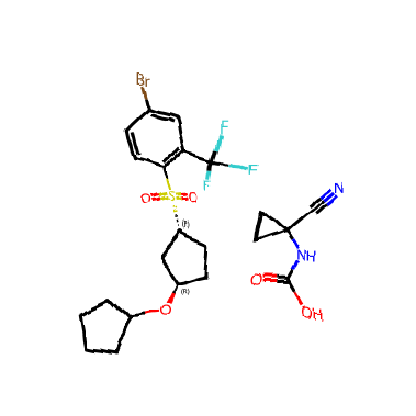 N#CC1(NC(=O)O)CC1.O=S(=O)(c1ccc(Br)cc1C(F)(F)F)[C@@H]1CC[C@@H](OC2CCCC2)C1